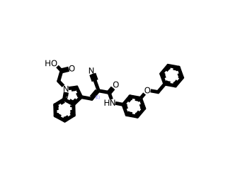 N#C/C(=C\c1cn(CC(=O)O)c2ccccc12)C(=O)Nc1cccc(OCc2ccccc2)c1